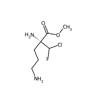 COC(=O)[C@](N)(CCCN)C(F)Cl